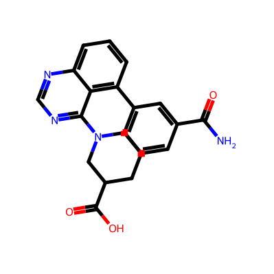 NC(=O)c1cccc(-c2cccc3ncnc(N4CCCC(C(=O)O)C4)c23)c1